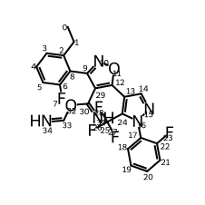 CCc1cccc(F)c1-c1noc(-c2cnn(-c3ccccc3F)c2C(F)(F)F)c1C(=N)OC=N